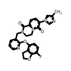 Cc1cn(-c2ccc3n(c2=O)CCN(Cc2cccnc2Oc2ccc(F)c4c2CCO4)C3=O)cn1